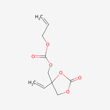 C=CCOC(=O)OCC1(C=C)COC(=O)O1